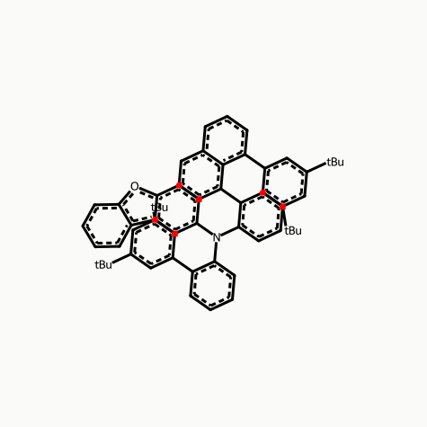 CC(C)(C)c1cc(-c2ccccc2N(c2ccc3oc4ccccc4c3c2)c2ccccc2-c2cccc3cccc(-c4cc(C(C)(C)C)cc(C(C)(C)C)c4)c23)cc(C(C)(C)C)c1